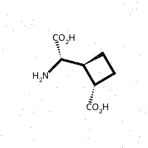 N[C@H](C(=O)O)[C@H]1CC[C@@H]1C(=O)O